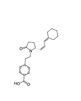 O=C(O)c1ccc(CCN2C(=O)CC[C@@H]2/C=C\C=C2CCCCC2)cc1